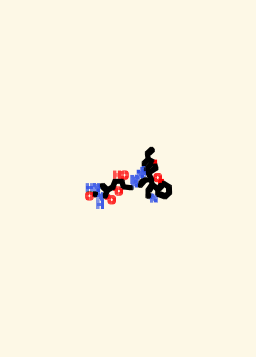 C=CC1CN2CCC1CC2C(OC)(c1cn(CC2OC(c3c[nH]c(=O)[nH]c3=O)CC2O)nn1)c1ccnc2ccccc12